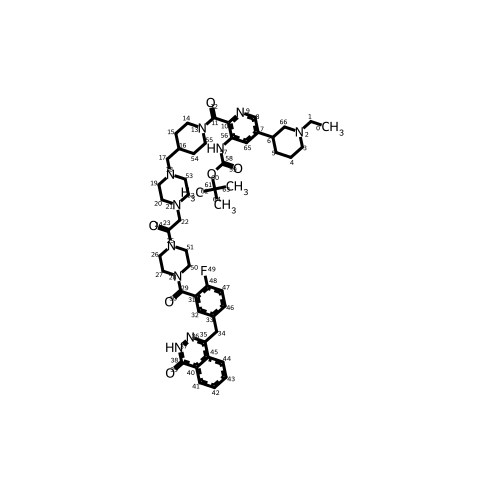 CCN1CCCC(c2cnc(C(=O)N3CCC(CN4CCN(CC(=O)N5CCN(C(=O)c6cc(Cc7n[nH]c(=O)c8ccccc78)ccc6F)CC5)CC4)CC3)c(NC(=O)OC(C)(C)C)c2)C1